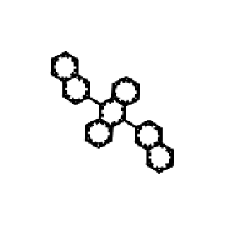 c1ccc2cc(-c3c4ccccc4c(-c4ccc5ccccc5c4)c4ccccc34)ccc2c1